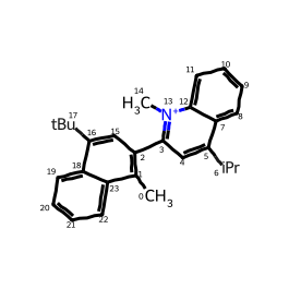 Cc1c(-c2cc(C(C)C)c3ccccc3[n+]2C)cc(C(C)(C)C)c2ccccc12